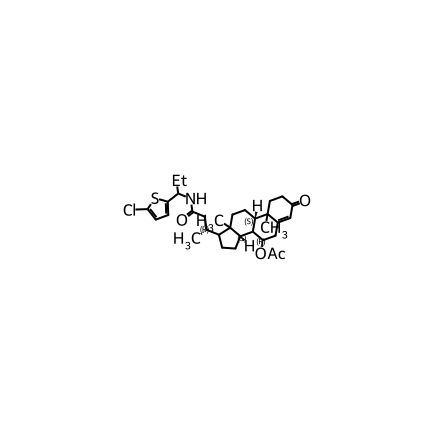 CCC(NC(=O)C[C@@H](C)C1CC[C@H]2C3[C@H](OC(C)=O)CC4=CC(=O)CCC4(C)[C@H]3CCC12C)c1ccc(Cl)s1